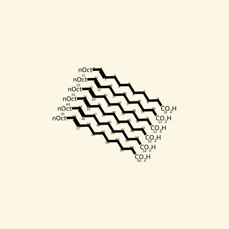 CCCCCCCCC=CCCCCCCCC(=O)O.CCCCCCCCC=CCCCCCCCC(=O)O.CCCCCCCCC=CCCCCCCCC(=O)O.CCCCCCCCC=CCCCCCCCC(=O)O.CCCCCCCCC=CCCCCCCCC(=O)O.CCCCCCCCC=CCCCCCCCC(=O)O